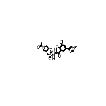 CC(=O)N1C[C@H](CS(=O)(=O)NNC(=O)c2cc(-c3cn(C)cn3)cc(Cl)c2F)[C@@H](C)C1